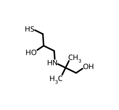 CC(C)(CO)NCC(O)CS